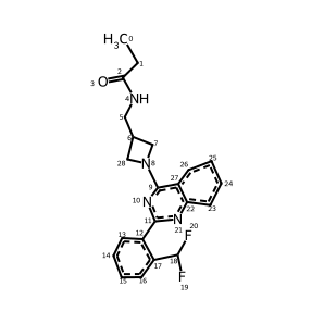 CCC(=O)NCC1CN(c2nc(-c3ccccc3C(F)F)nc3ccccc23)C1